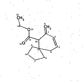 C=C1C=CCC2(CCCC2)C1C(=O)OCC